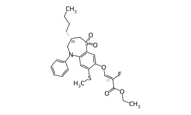 CCCC[C@H]1CN(c2ccccc2)c2cc(SC)c(O/C=C(\F)C(=O)OCC)cc2S(=O)(=O)C1